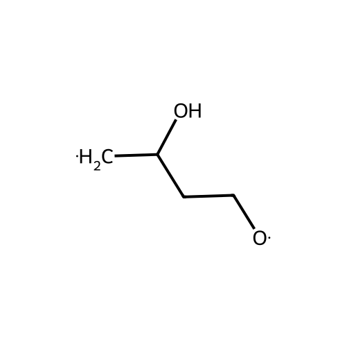 [CH2]C(O)CC[O]